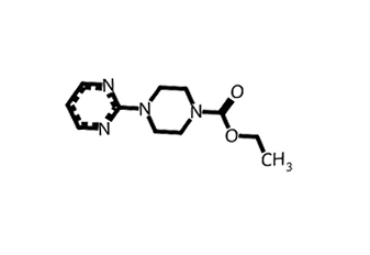 CCOC(=O)N1CCN(c2ncccn2)CC1